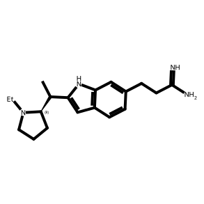 CCN1CCC[C@@H]1C(C)c1cc2ccc(CCC(=N)N)cc2[nH]1